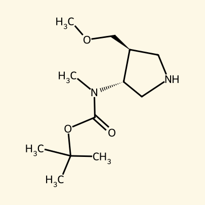 COC[C@H]1CNC[C@@H]1N(C)C(=O)OC(C)(C)C